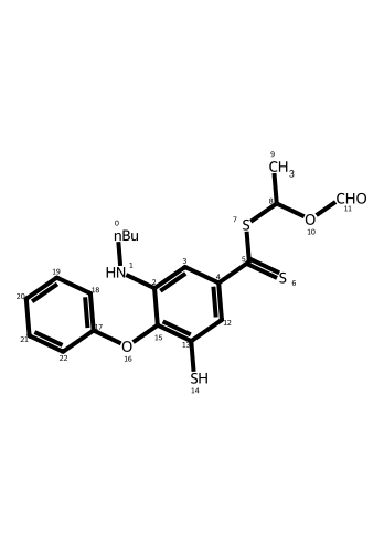 CCCCNc1cc(C(=S)SC(C)OC=O)cc(S)c1Oc1ccccc1